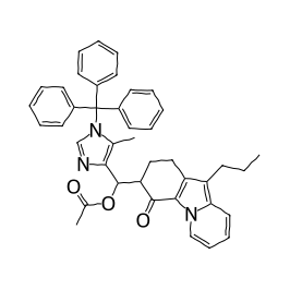 CCCc1c2c(n3ccccc13)C(=O)C(C(OC(C)=O)c1ncn(C(c3ccccc3)(c3ccccc3)c3ccccc3)c1C)CC2